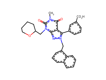 Cn1c(=O)c2c(-c3cccc(C(=O)O)c3)n(Cc3cccc4ccccc34)nc2n(CC2CCCCO2)c1=O